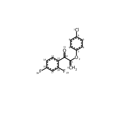 C=C(Oc1ccc(Cl)cc1)C(=O)c1ccc(F)cc1F